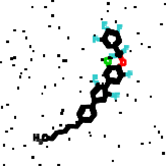 CCCCCCc1ccc(-c2cc(F)c(-c3cc(F)c(OC(F)(F)c4cc(F)c(F)c(F)c4)c(Cl)c3)c(F)c2)cc1